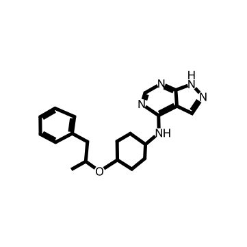 CC(Cc1ccccc1)OC1CCC(Nc2ncnc3[nH]ncc23)CC1